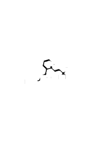 CCOC(=O)c1cccnc1/C=C/C(F)(F)F